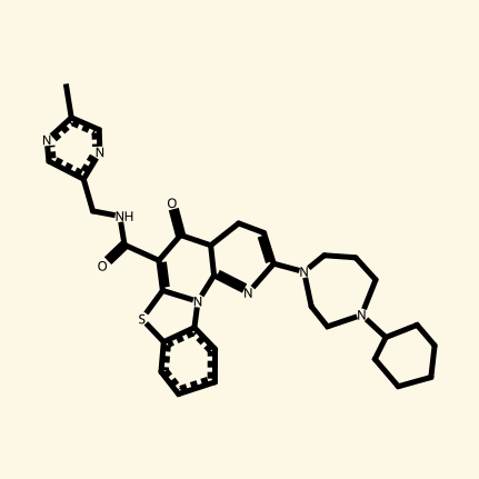 Cc1cnc(CNC(=O)C2=C3Sc4ccccc4N3C3=NC(N4CCCN(C5CCCCC5)CC4)=CCC3C2=O)cn1